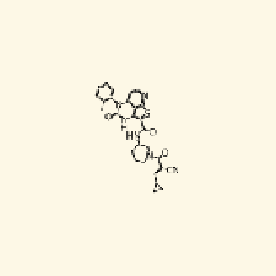 Cc1ccccc1N1C(=O)Nc2c(C(=O)NC3CCCN(C(=O)C(C#N)=CC4CC4)C3)sc3nccc1c23